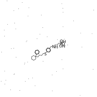 O=P(O)(O)CCCNCc1ccc(SCCCCC2(c3ccccc3)CCCCC2)cc1